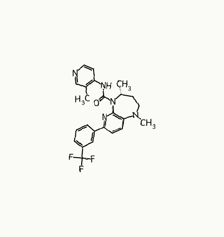 Cc1cnccc1NC(=O)N1c2nc(-c3cccc(C(F)(F)F)c3)ccc2N(C)CC[C@H]1C